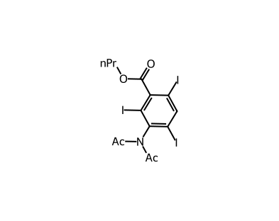 CCCOC(=O)c1c(I)cc(I)c(N(C(C)=O)C(C)=O)c1I